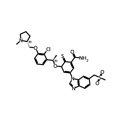 C[C@@H](OC1C=C(n2cnc3ccc(CS(C)(=O)=O)cc32)C=C(C(N)=O)C1=S)c1cccc(OC[C@H]2CCCN2C)c1Cl